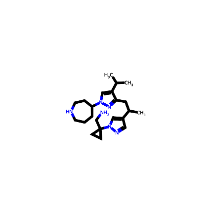 CC(C)c1cn(C2CCCNCC2)nc1CC(C)c1cnn(C2(CN)CC2)c1